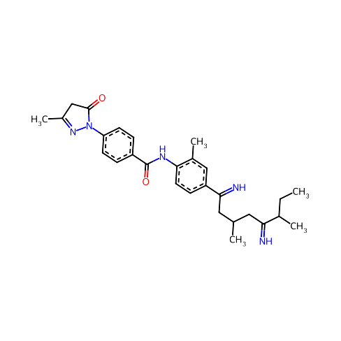 CCC(C)C(=N)CC(C)CC(=N)c1ccc(NC(=O)c2ccc(N3N=C(C)CC3=O)cc2)c(C)c1